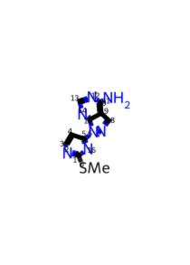 CSc1nccc(-n2ncc3c(N)ncnc32)n1